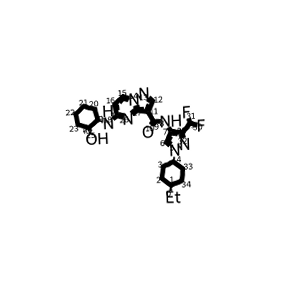 CC[C@H]1CC[C@H](n2cc(NC(=O)c3cnn4ccc(N[C@H]5CCCC[C@H]5O)nc34)c(C(F)F)n2)CC1